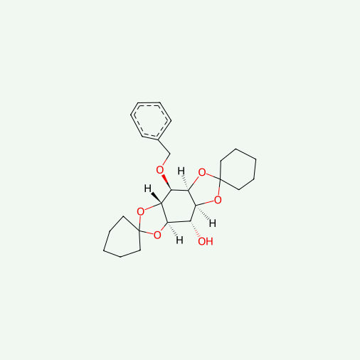 O[C@@H]1[C@H]2OC3(CCCCC3)O[C@@H]2[C@@H](OCc2ccccc2)[C@H]2OC3(CCCCC3)O[C@@H]12